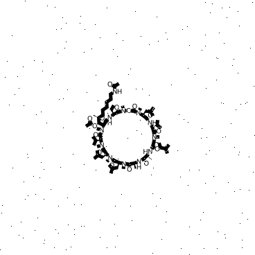 CC[C@@H]1NC(=O)[C@H]([C@H](OC(C)=O)[C@H](C)CCCCCCNC(C)=O)N(C)C(=O)[C@H](C(C)C)N(C)C(=O)[C@H](CC(C)C)N(C)C(=O)[C@H](CC(C)C)N(C)C(=O)[C@H](C)NC(=O)[C@@H](C)NC(=O)[C@@H](CCC(C)C)N(C)C(=O)[C@@H](C(C)C)NC(=O)[C@H](CC(C)C)N(C)C(=O)CN(C)C1=O